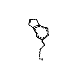 OCCc1ccc2c(c1)C=CC2